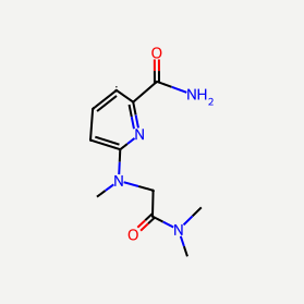 CN(C)C(=O)CN(C)c1cc[c]c(C(N)=O)n1